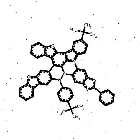 CC(C)(C)c1ccc(N2B3c4cc5nc(-c6ccccc6)sc5cc4-n4c5ccc(C(C)(C)C)cc5c5c6oc7ccccc7c6c(c3c54)-c3cc4oc5ccccc5c4cc32)cc1